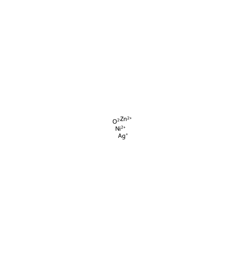 [Ag+].[Ni+2].[O-2].[Zn+2]